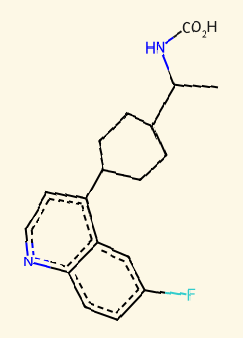 CC(NC(=O)O)C1CCC(c2ccnc3ccc(F)cc23)CC1